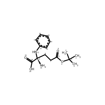 CC(C)(C)OC(=O)CC[C@@](N)(Nc1ccccc1)C(=O)O